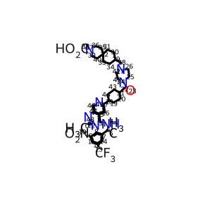 Cc1nc(N[C@H](C)c2cc([N+](=O)[O-])cc(C(F)(F)F)c2)c2cc(C3CCC(C(=O)N4CCN(CC5CCC6(CC5)CCN(C(=O)O)CC6)CC4)CC3)ncc2n1